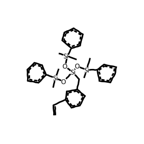 C=Cc1cccc(C[Si](O[Si](C)(C)c2ccccc2)(O[Si](C)(C)c2ccccc2)O[Si](C)(C)c2ccccc2)c1